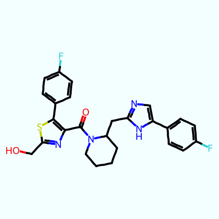 O=C(c1nc(CO)sc1-c1ccc(F)cc1)N1CCCCC1Cc1ncc(-c2ccc(F)cc2)[nH]1